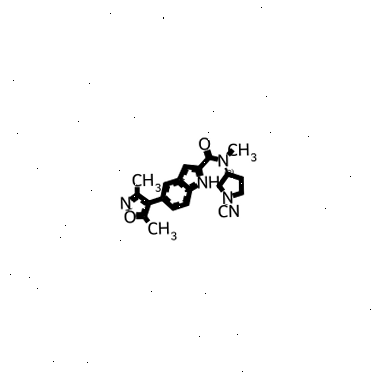 Cc1noc(C)c1-c1ccc2[nH]c(C(=O)N(C)[C@@H]3CCN(C#N)C3)cc2c1